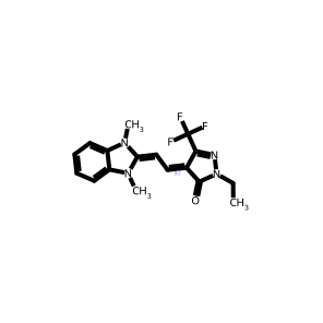 CCN1N=C(C(F)(F)F)/C(=C\C=C2N(C)c3ccccc3N2C)C1=O